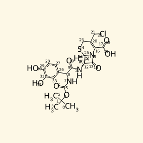 CC(C)(C)OC(=O)NC(C(=O)N[C@@H]1C(=O)N2C(C(=O)O)=C(CCl)CS[C@@H]12)c1ccc(O)c(O)c1